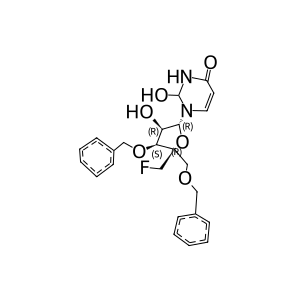 O=C1C=CN([C@@H]2O[C@](CF)(COCc3ccccc3)[C@@H](OCc3ccccc3)[C@H]2O)C(O)N1